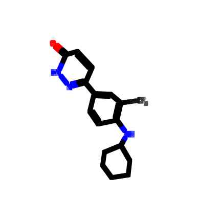 O=c1ccc(-c2ccc(NC3CCCCC3)c(C(F)(F)F)c2)n[nH]1